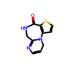 O=C1NCC2=NC=CCN2c2ccsc21